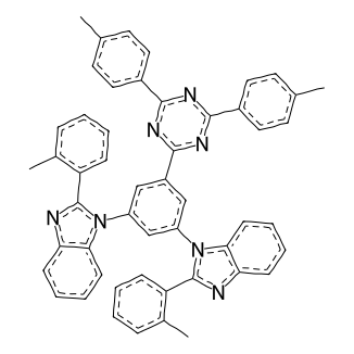 Cc1ccc(-c2nc(-c3ccc(C)cc3)nc(-c3cc(-n4c(-c5ccccc5C)nc5ccccc54)cc(-n4c(-c5ccccc5C)nc5ccccc54)c3)n2)cc1